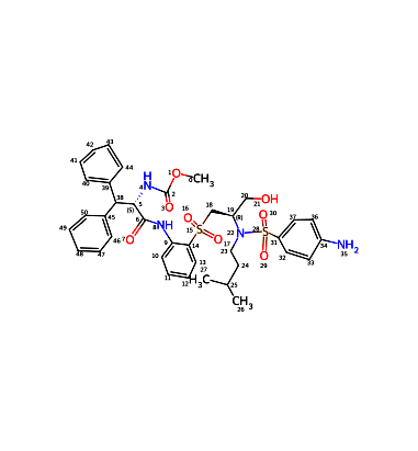 COC(=O)N[C@H](C(=O)Nc1ccccc1S(=O)(=O)C[C@@H](CO)N(CCC(C)C)S(=O)(=O)c1ccc(N)cc1)C(c1ccccc1)c1ccccc1